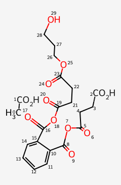 CC(=O)O.O=C(O)CCC(=O)OC(=O)c1ccccc1C(=O)OC(=O)CCC(=O)OCCCO